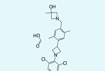 Cc1cc(C2CN(c3c(Cl)cccc3Cl)C2)c(C)cc1CN1CC(C)(O)C1.O=CO